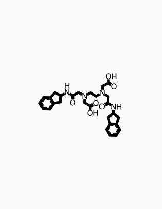 O=C(O)CN(CCN(CC(=O)O)CC(=O)NC1Cc2ccccc2C1)CC(=O)NC1Cc2ccccc2C1